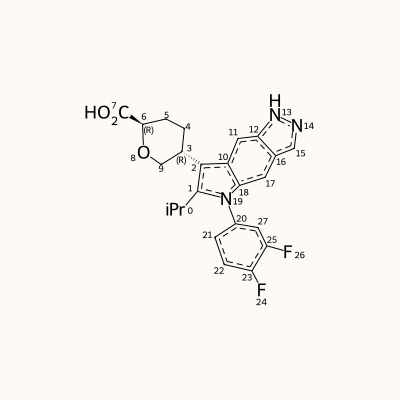 CC(C)c1c([C@H]2CC[C@H](C(=O)O)OC2)c2cc3[nH]ncc3cc2n1-c1ccc(F)c(F)c1